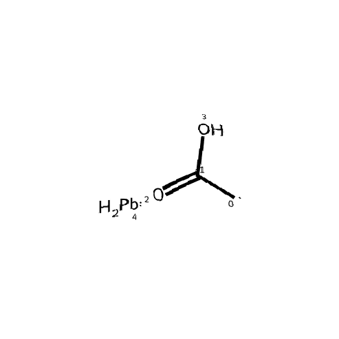 [CH2]C(=O)O.[PbH2]